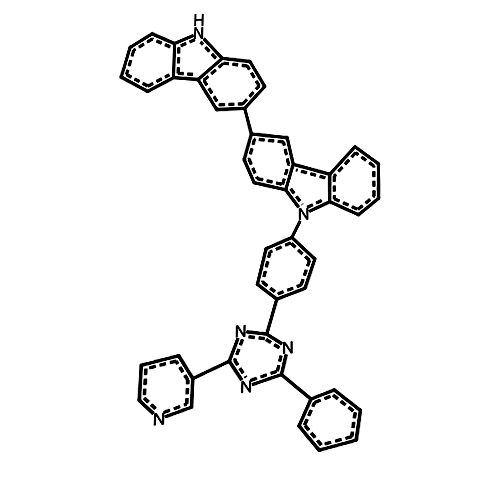 c1ccc(-c2nc(-c3ccc(-n4c5ccccc5c5cc(-c6ccc7[nH]c8ccccc8c7c6)ccc54)cc3)nc(-c3cccnc3)n2)cc1